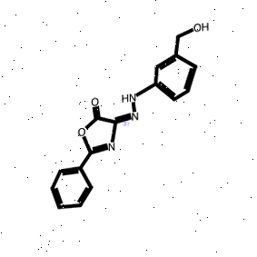 O=C1OC(c2ccccc2)=N/C1=N/Nc1cccc(CO)c1